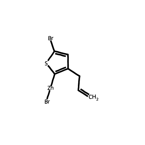 C=CCc1cc(Br)s[c]1[Zn][Br]